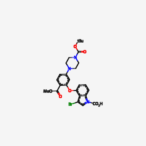 COC(=O)c1ccc(N2CCN(C(=O)OC(C)(C)C)CC2)cc1Oc1cccc2c1c(Br)cn2C(=O)O